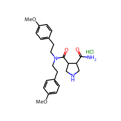 COc1ccc(CCN(CCc2ccc(OC)cc2)C(=O)C2CNCC2C(N)=O)cc1.Cl